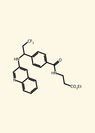 CCOC(=O)CCNC(=O)c1ccc(C(CC(F)(F)F)Nc2cnc3ccccc3c2)cc1